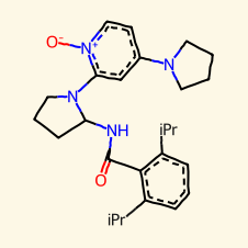 CC(C)c1cccc(C(C)C)c1C(=O)NC1CCCN1c1cc(N2CCCC2)cc[n+]1[O-]